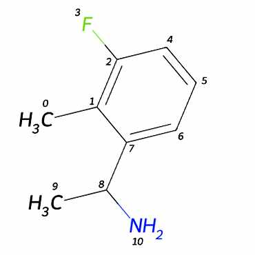 Cc1c(F)cccc1C(C)N